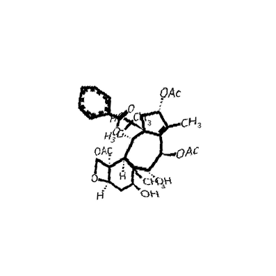 CC(=O)O[C@H]1C[C@]2(C(C)(C)O)C(=C1C)[C@@H](OC(C)=O)[C@H](O)[C@@]1(C)[C@H]([C@@H]2OC(=O)c2ccccc2)[C@]2(OC(C)=O)CO[C@@H]2C[C@@H]1O